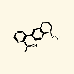 CC(O)c1ccncc1-c1cnc2c(c1)CCCN2C(=O)O